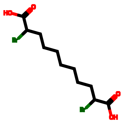 O=C(O)C(Br)CCCCCCCC(Br)C(=O)O